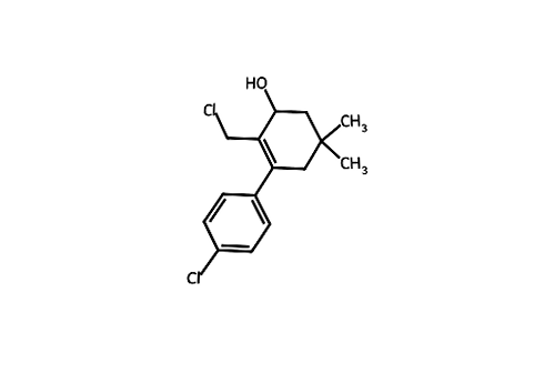 CC1(C)CC(c2ccc(Cl)cc2)=C(CCl)C(O)C1